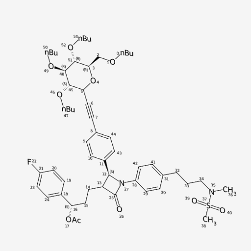 CCCCOC[C@H]1OC(C#Cc2ccc([C@@H]3C(CC[C@H](OC(C)=O)c4ccc(F)cc4)C(=O)N3c3ccc(CCCN(C)S(C)(=O)=O)cc3)cc2)[C@H](OCCCC)[C@@H](OCCCC)[C@@H]1OCCCC